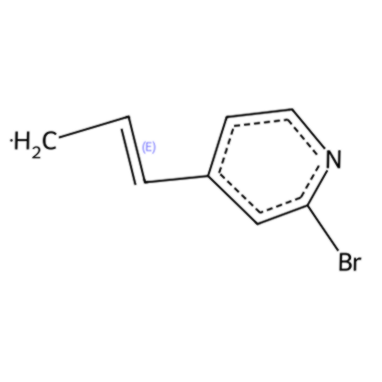 [CH2]/C=C/c1ccnc(Br)c1